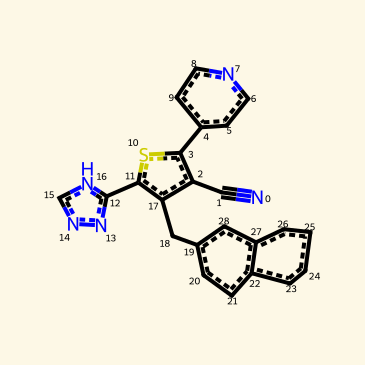 N#Cc1c(-c2ccncc2)sc(-c2nnc[nH]2)c1Cc1ccc2ccccc2c1